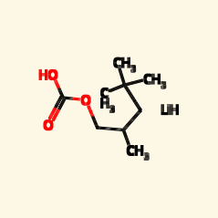 CC(COC(=O)O)CC(C)(C)C.[LiH]